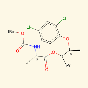 CC(C)C(OC(=O)[C@H](C)NC(=O)OC(C)(C)C)[C@H](C)Oc1ccc(Cl)cc1Cl